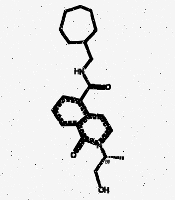 C[C@H](CO)n1ccc2c(C(=O)NCC3CCCCCC3)cccc2c1=O